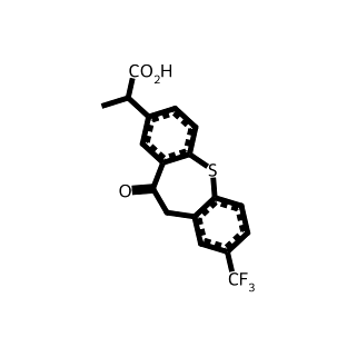 CC(C(=O)O)c1ccc2c(c1)C(=O)Cc1cc(C(F)(F)F)ccc1S2